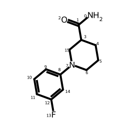 NC(=O)C1CCCN(c2cccc(F)c2)C1